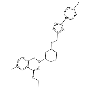 CCOC(=O)c1cc(C)ccc1COC1CCCC(OCc2coc(-c3ccc(F)cc3)n2)C1